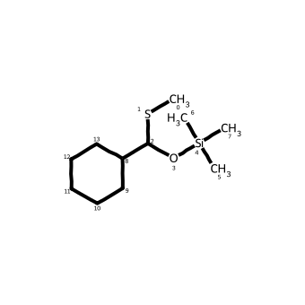 CSC(O[Si](C)(C)C)C1CCCCC1